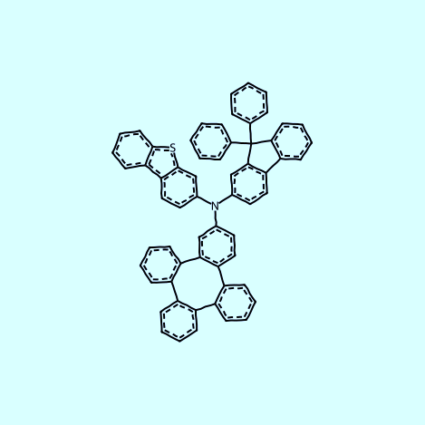 c1ccc(C2(c3ccccc3)c3ccccc3-c3ccc(N(c4ccc5c(c4)-c4ccccc4-c4ccccc4-c4ccccc4-5)c4ccc5c(c4)sc4ccccc45)cc32)cc1